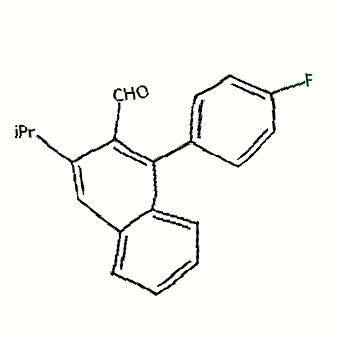 CC(C)c1cc2ccccc2c(-c2ccc(F)cc2)c1C=O